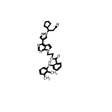 Cc1cccc(Nc2ccccc2C(=O)OCCn2ccc3c(-c4cnn(C(CC#N)C5CCCC5)c4)ncnc32)c1C